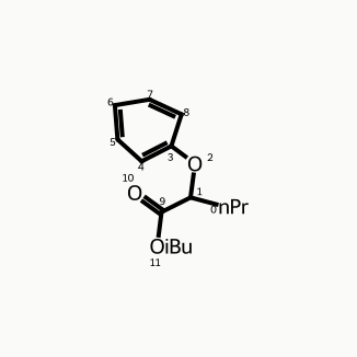 CCCC(Oc1ccccc1)C(=O)OCC(C)C